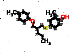 CCCC(COc1ccc(C)cc1)CSc1ccc(O)c(C)c1